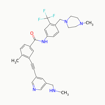 CNCc1cncc(C#Cc2cc(C(=O)Nc3ccc(CN4CCN(C)CC4)c(C(F)(F)F)c3)ccc2C)c1